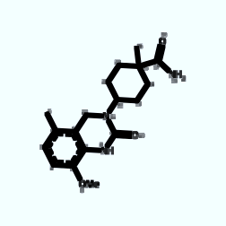 COc1ccc(C)c2c1NC(=O)N(C1CCC(C)(C(N)=O)CC1)C2